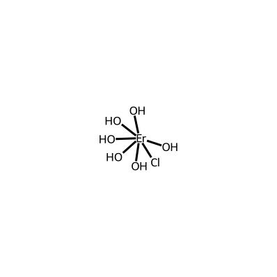 [OH][Er]([OH])([OH])([OH])([OH])([OH])[Cl]